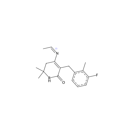 C/C=N\C1=C(Cc2cccc(F)c2C)C(=O)BC(C)(C)C1